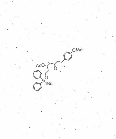 COc1ccc(CCC(=O)CC(CCO[Si](c2ccccc2)(c2ccccc2)C(C)(C)C)OC(C)=O)cc1